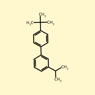 CC(C)c1cc[c]c(-c2ccc(C(C)(C)C)cc2)c1